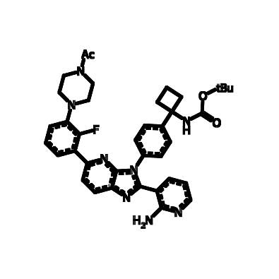 CC(=O)N1CCN(c2cccc(-c3ccc4nc(-c5cccnc5N)n(-c5ccc(C6(NC(=O)OC(C)(C)C)CCC6)cc5)c4n3)c2F)CC1